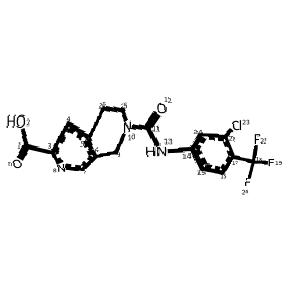 O=C(O)c1cc2c(cn1)CN(C(=O)Nc1ccc(C(F)(F)F)c(Cl)c1)CC2